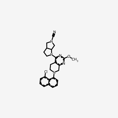 COc1nc2c(c(N3CCC4CN(C#N)CC43)n1)CCN(c1cccc3cccc(Cl)c13)C2